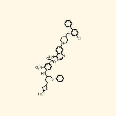 O=[N+]([O-])c1cc(S(=O)(=O)Nc2ncnc3cc(N4CCN(Cc5cc(Cl)ccc5-c5ccccc5)CC4)ccc23)ccc1NC(CCN1CC(O)C1)CSc1ccccc1